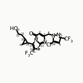 O=c1cc(Cn2nc(C(F)(F)F)cc2Cl)nc2sc(C(F)(F)F)c(C3CC3CCO)n12